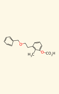 Cc1c(CCOCc2ccccc2)cccc1OC(=O)O